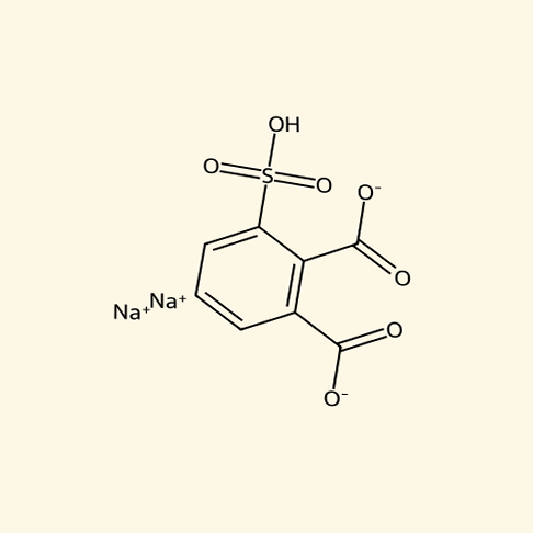 O=C([O-])c1cccc(S(=O)(=O)O)c1C(=O)[O-].[Na+].[Na+]